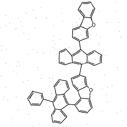 c1ccc(-c2c3ccccc3c(-c3cccc4oc5cc(-c6c7ccccc7c(-c7ccc8c(c7)oc7ccccc78)c7ccccc67)ccc5c34)c3ccccc23)cc1